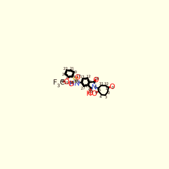 O=C1CCCC(O)C(N2C(=O)c3ccc(NS(=O)(=O)c4ccccc4OC(F)(F)F)cc3C2=O)CC1